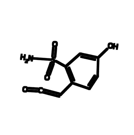 NS(=O)(=O)c1cc(O)ccc1C=C=O